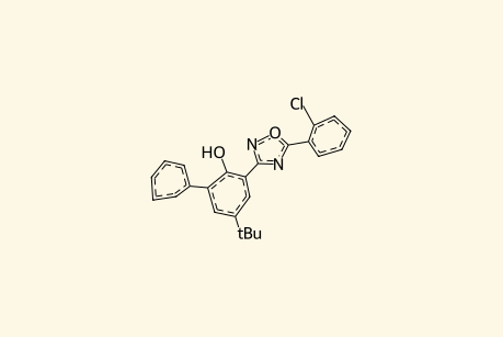 CC(C)(C)c1cc(-c2ccccc2)c(O)c(-c2noc(-c3ccccc3Cl)n2)c1